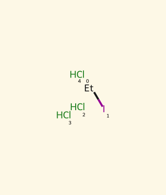 CCI.Cl.Cl.Cl